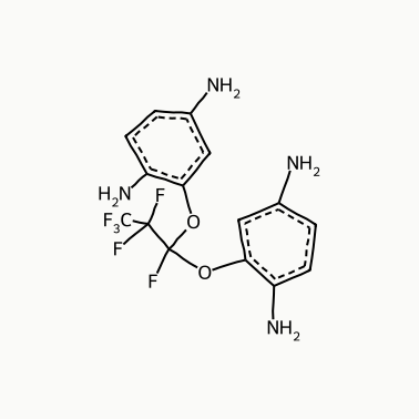 Nc1ccc(N)c(OC(F)(Oc2cc(N)ccc2N)C(F)(F)C(F)(F)F)c1